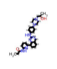 C=CC(=O)Nc1cccc(-c2cccc3cnc(Nc4ccc(N5CCN(CC(C)O)CC5)cc4)nc23)n1